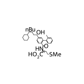 CCCCC(CC1CCCCC1)CC(O)c1ccc(C(=O)N[C@@H](CCSC)C(=O)O)c(-c2ccccc2C)c1